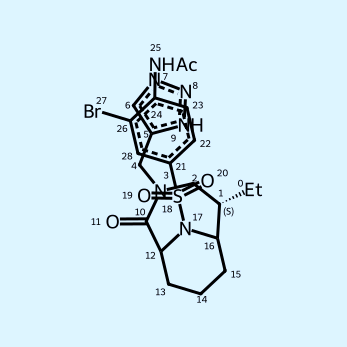 CC[C@H]1CN(Cc2cnn[nH]2)C(=O)C2CCCC1N2S(=O)(=O)c1ccc(NC(C)=O)c(Br)c1